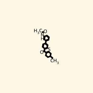 CCC1CCc2c(sc3cc(-c4cccc(NC(C)=O)c4)ccc3c2=O)C1